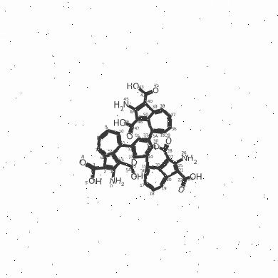 Nc1c(C(=O)O)c2ccccc(-c3cc(-c4ccccc5c(C(=O)O)c(N)c(C(=O)O)c4-5)cc(-c4ccccc5c(C(=O)O)c(N)c(C(=O)O)c4-5)c3)c-2c1C(=O)O